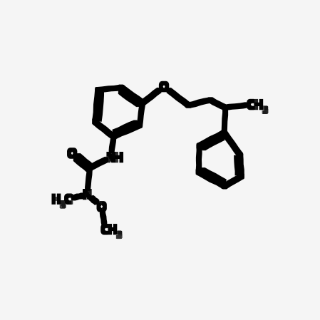 CON(C)C(=O)Nc1cccc(OCCC(C)c2ccccc2)c1